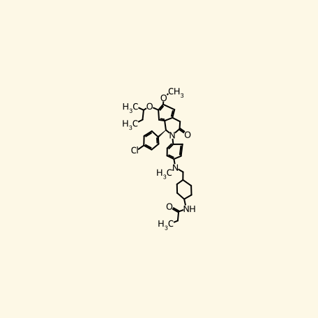 CCC(=O)NC1CCC(CN(C)c2ccc(N3C(=O)Cc4cc(OC)c(OC(C)CC)cc4[C@@H]3c3ccc(Cl)cc3)cc2)CC1